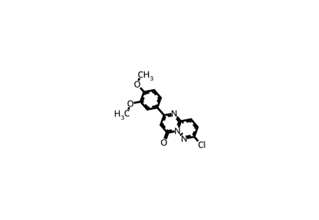 COc1ccc(-c2cc(=O)n3nc(Cl)ccc3n2)cc1OC